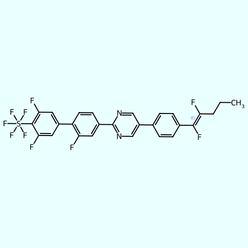 CCC/C(F)=C(\F)c1ccc(-c2cnc(-c3ccc(-c4cc(F)c(S(F)(F)(F)(F)F)c(F)c4)c(F)c3)nc2)cc1